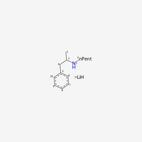 CCCCCNC(C)Cc1ccccc1.[LiH]